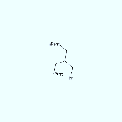 CCCCCCC(CBr)CCCCCC